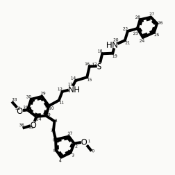 COc1cccc(CCc2c(CCNCCCSCCNCCc3ccccc3)ccc(OC)c2OC)c1